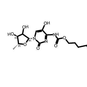 CCCCCOC(=O)Nc1nc(=O)n([C@@H]2O[C@H](C)[C@@H](O)C2O)cc1O